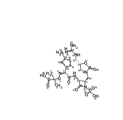 CC(C)(O/N=C(\C(=O)N[C@@H]1C(=O)N(S(=O)(=O)O)[C@@H]1CN1C[C@H](CNC(=N)N)OC1=O)c1csc(N)n1)C(=O)O